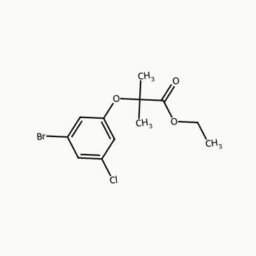 CCOC(=O)C(C)(C)Oc1cc(Cl)cc(Br)c1